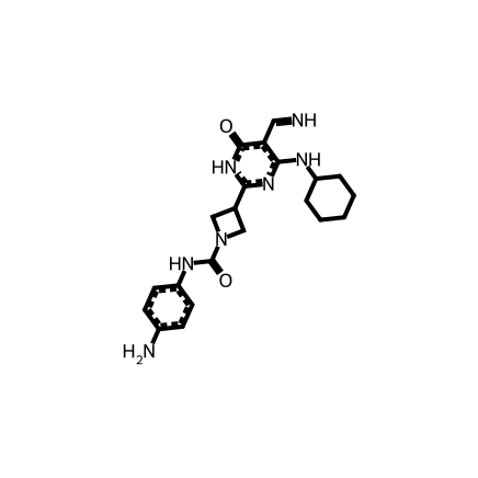 N=Cc1c(NC2CCCCC2)nc(C2CN(C(=O)Nc3ccc(N)cc3)C2)[nH]c1=O